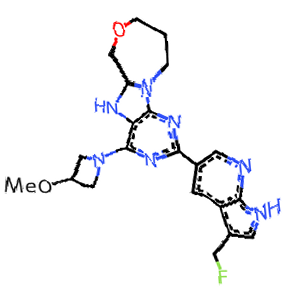 COC1CN(c2nc(-c3cnc4[nH]cc(CF)c4c3)nc3c2NC2COCCCN32)C1